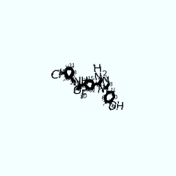 Nc1ncc([C@H]2CC[C@@H](O)CC2)nc1-c1ccc(C(=O)NCc2cccc(Cl)c2)c(F)c1